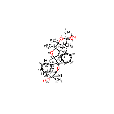 CCC(C)(O[Si](C)(C)O)[Si](C)(C)OC(C)(C)[Si](O[C@@](C)(CC)[Si](C)(C)O)(c1ccccc1)c1ccccc1